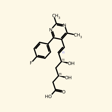 Cc1nc(C)c(/C=C/[C@@H](O)C[C@@H](O)CC(=O)O)c(-c2ccc(F)cc2)n1